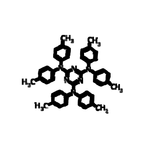 Cc1ccc(N(c2ccc(C)cc2)c2nc(N(c3ccc(C)cc3)c3ccc(C)cc3)nc(N(c3ccc(C)cc3)c3ccc(C)cc3)n2)cc1